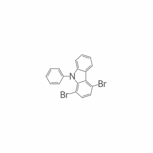 Brc1ccc(Br)c2c1c1ccccc1n2-c1ccccc1